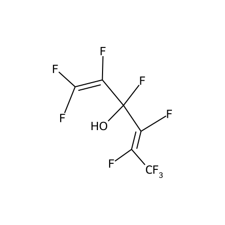 OC(F)(C(F)=C(F)F)C(F)=C(F)C(F)(F)F